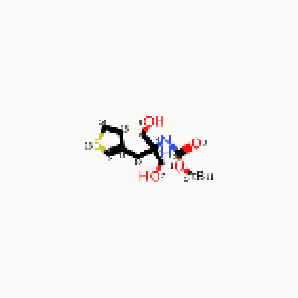 CC(C)(C)OC(=O)NC(CO)(CO)CC1=CSCC1